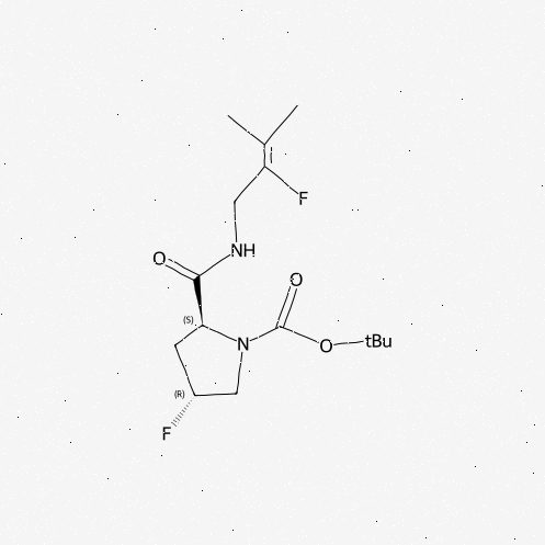 CC(C)=C(F)CNC(=O)[C@@H]1C[C@@H](F)CN1C(=O)OC(C)(C)C